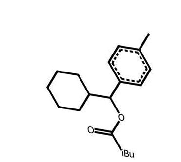 CCC(C)C(=O)OC(c1ccc(C)cc1)C1CCCCC1